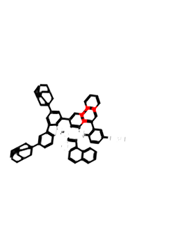 CC(C)(C)c1ccc(N2c3cc(-c4ccccc4)cc4c3B(c3oc5ccc6ccccc6c5c32)n2c3ccc(C56CC7CC(CC(C7)C5)C6)cc3c3cc(C56CC7CC(CC(C7)C5)C6)cc-4c32)c(-c2ccccc2)c1